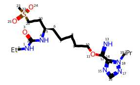 CCNC(=O)N[C@H](CCCCCOC(=N)c1ncnn1C(C)C)CCS(C)(=O)=O